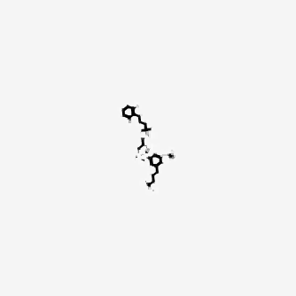 CN(C[C@H](O)CNC(C)(C)CCCc1c(F)cccc1F)S(=O)(=O)c1cc(CCCC(=O)O)cc(OC(F)(F)F)c1